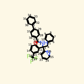 O=C(NC(Cc1ccccc1)(c1cccc(C(F)(F)F)c1)c1ccccn1)c1ccc(-c2ccccc2)cc1